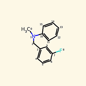 CN(Cc1cccc(F)c1)c1ccccc1